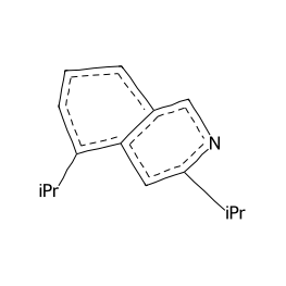 CC(C)c1cc2c(C(C)C)cccc2cn1